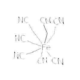 N#[C][Fe]([C]#N)([C]#N)([C]#N)([C]#N)([C]#N)[C]#N